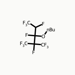 CCCCOC(F)(C(F)C(F)(F)F)C(F)(C(F)(F)F)C(F)(F)F